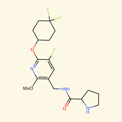 COc1nc(OC2CCC(F)(F)CC2)c(F)cc1CNC(=O)C1CCCN1